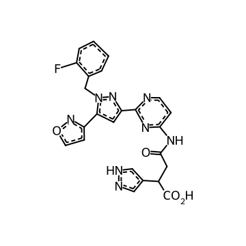 O=C(CC(C(=O)O)c1cn[nH]c1)Nc1ccnc(-c2cc(-c3ccon3)n(Cc3ccccc3F)n2)n1